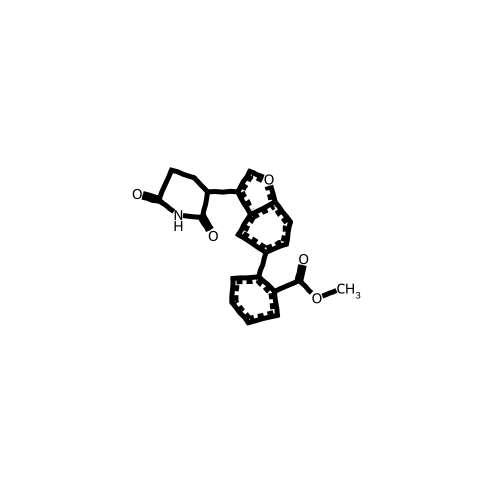 COC(=O)c1ccccc1-c1ccc2occ(C3CCC(=O)NC3=O)c2c1